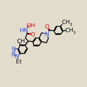 CCn1nnc2c(C)c(C(CC(=O)NO)c3ccc4c(c3)CN(C(=O)c3ccc(C)c(C)c3)CC4)ccc21